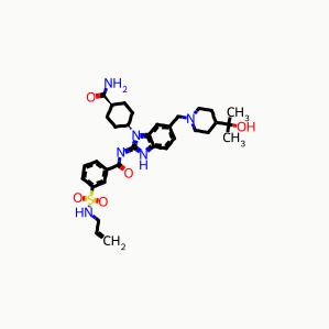 C=CCNS(=O)(=O)c1cccc(C(=O)/N=c2\[nH]c3ccc(CN4CCC(C(C)(C)O)CC4)cc3n2[C@H]2CC[C@H](C(N)=O)CC2)c1